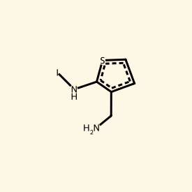 NCc1ccsc1NI